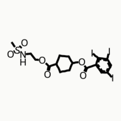 CS(=O)(=O)NCCOC(=O)C1CCC(OC(=O)c2cc(I)cc(I)c2I)CC1